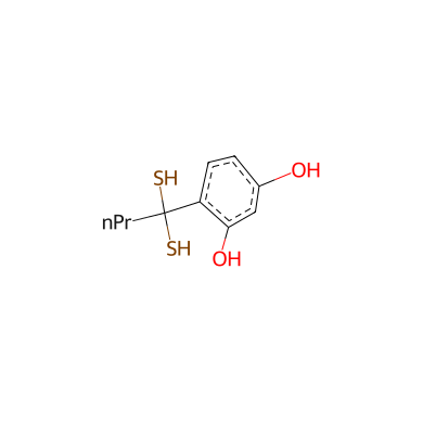 CCCC(S)(S)c1ccc(O)cc1O